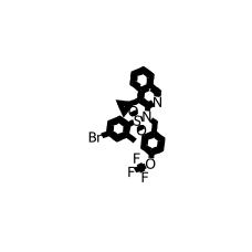 Cc1cc(Br)ccc1S(=O)(=O)N(Cc1ccc(OC(F)(F)F)cc1)c1ncc2ccccc2c1C1CC1